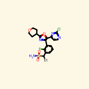 CCC(c1cccc(-c2nc(C3CCOCC3)oc2-c2ccnc(Cl)n2)c1F)S(N)(=O)=O